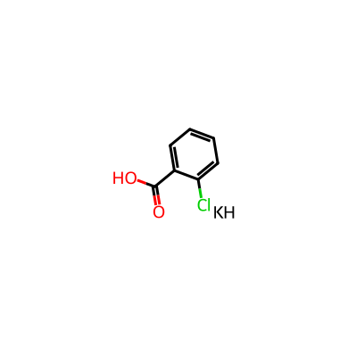 O=C(O)c1ccccc1Cl.[KH]